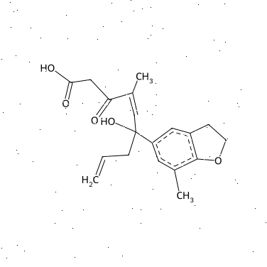 C=CCC(O)(C=C(C)C(=O)CC(=O)O)c1cc(C)c2c(c1)CCO2